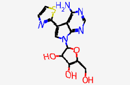 Nc1ncnc2c1c(-c1nccs1)cn2C1OC(CO)C(O)C1O